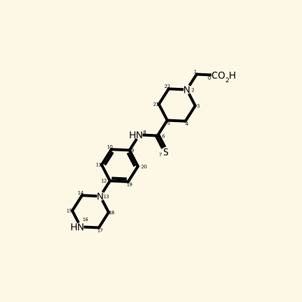 O=C(O)CN1CCC(C(=S)Nc2ccc(N3CCNCC3)cc2)CC1